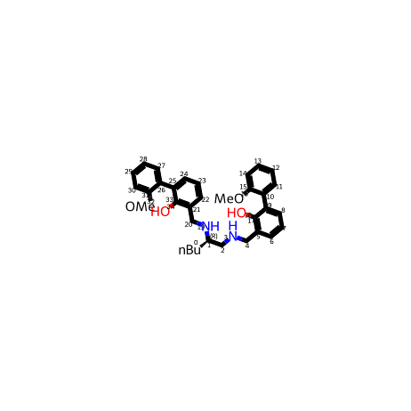 CCCC[C@H](CNCc1cccc(-c2ccccc2OC)c1O)NCc1cccc(-c2ccccc2OC)c1O